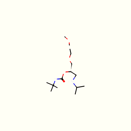 COCCOC[C@@H](CNC(C)C)OC(=O)NC(C)(C)C